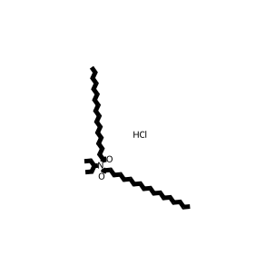 CCCCCCCCCCCCCCCCCC(=O)N(C(=O)CCCCCCCCCCCCCCCCC)C(CC)CC.Cl